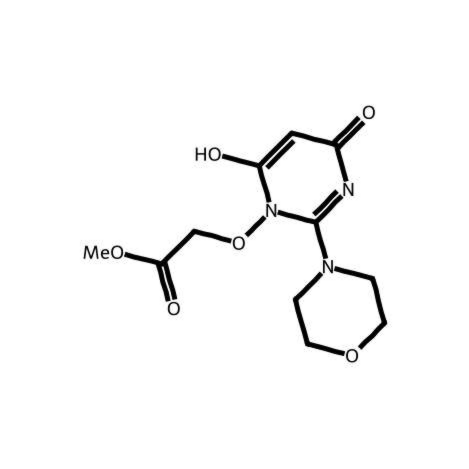 COC(=O)COn1c(O)cc(=O)nc1N1CCOCC1